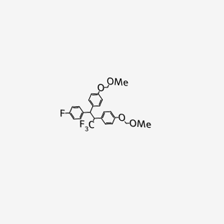 COCOc1ccc(C(c2ccc(F)cc2)C(c2ccc(OCOC)cc2)C(F)(F)F)cc1